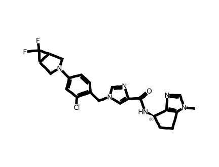 Cn1cnc2c1CC[C@H]2NC(=O)c1cn(Cc2ccc(N3CC4C(C3)C4(F)F)cc2Cl)cn1